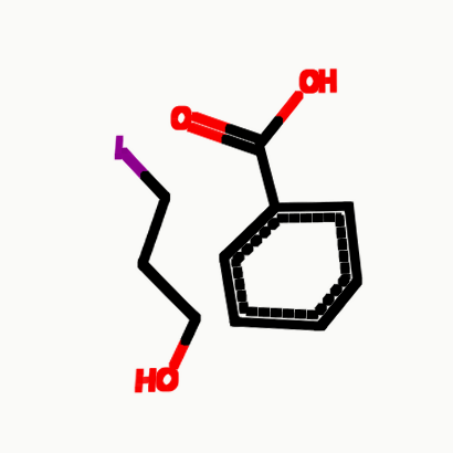 O=C(O)c1ccccc1.OCCCI